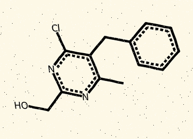 Cc1nc(CO)nc(Cl)c1Cc1ccccc1